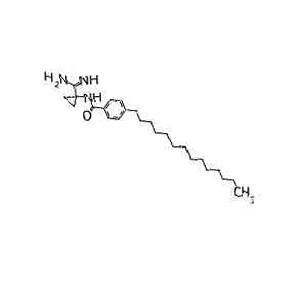 CCCCCCCCCCCCCCc1ccc(C(=O)NC2(C(=N)N)CC2)cc1